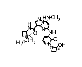 CNc1cc(Nc2cccn([C@H]3CC[C@@H]3O)c2=O)nc2c(C(=O)NC3CC[C@]3(C)OC)cnn12